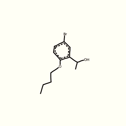 CCCCOc1ccc(Br)cc1C(C)O